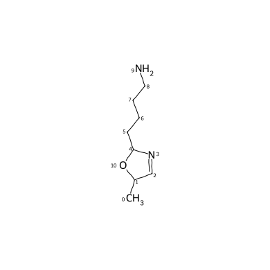 CC1C=NC(CCCCN)O1